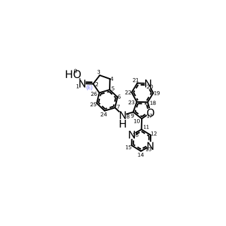 O/N=C1\CCc2cc(Nc3c(-c4cnccn4)oc4cnccc34)ccc21